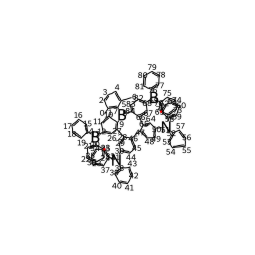 Cc1cccc(C)c1B1c2ccc(B(c3ccccc3)c3ccccc3)cc2-c2cc(N(c3ccccc3)c3ccccc3)ccc2-c2ccc(N(c3ccccc3)c3ccccc3)cc2-c2cc(B(c3ccccc3)c3ccccc3)ccc21